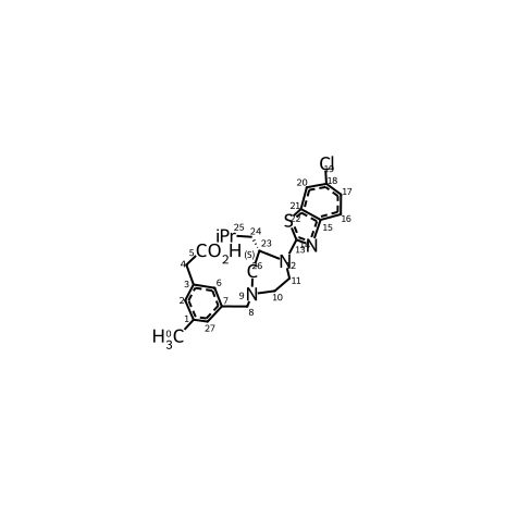 Cc1cc(CC(=O)O)cc(CN2CCN(c3nc4ccc(Cl)cc4s3)[C@@H](CC(C)C)C2)c1